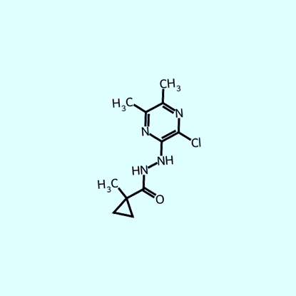 Cc1nc(Cl)c(NNC(=O)C2(C)CC2)nc1C